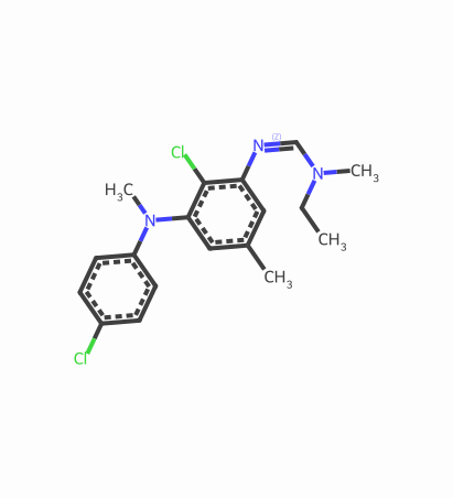 CCN(C)/C=N\c1cc(C)cc(N(C)c2ccc(Cl)cc2)c1Cl